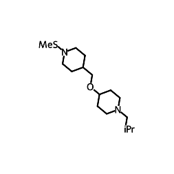 CSN1CCC(COC2CCN(CC(C)C)CC2)CC1